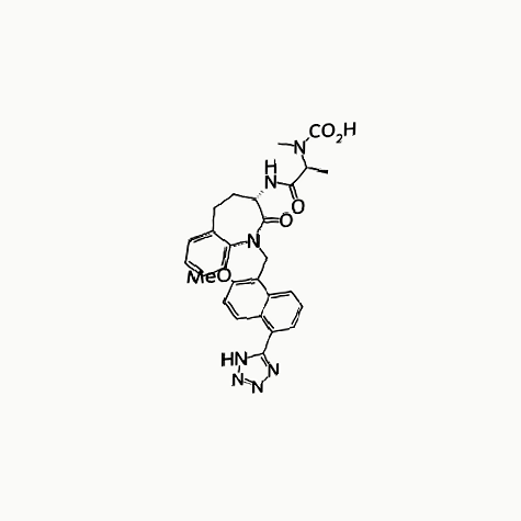 COc1ccc2c(-c3nnn[nH]3)cccc2c1CN1C(=O)[C@@H](NC(=O)[C@H](C)N(C)C(=O)O)CCc2ccccc21